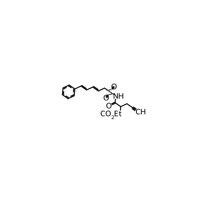 C#CCC(C(=O)NS(=O)(=O)C/C=C/C=Cc1ccccc1)C(=O)OCC